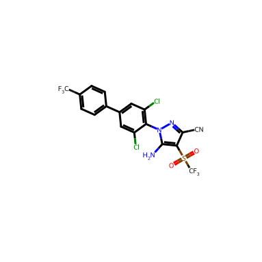 N#Cc1nn(-c2c(Cl)cc(-c3ccc(C(F)(F)F)cc3)cc2Cl)c(N)c1S(=O)(=O)C(F)(F)F